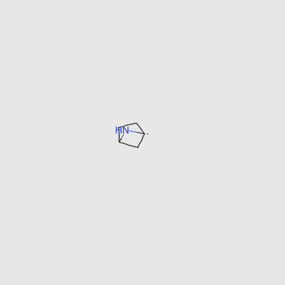 C1CC2C[C]1N2